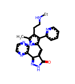 CCNCCc1c(C)[nH]c(/C=C2/C(=O)NN=C2c2cnccn2)c1-c1ccccn1